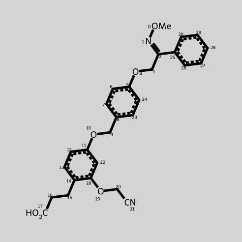 CON=C(COc1ccc(COc2ccc(CCC(=O)O)c(OCC#N)c2)cc1)c1ccccc1